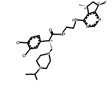 CC(C)N1CCN(C[C@@H](C(=O)NCCNc2ncnc3c2[C@H](C)C[C@H]3F)c2ccc(Cl)c(Cl)c2)CC1